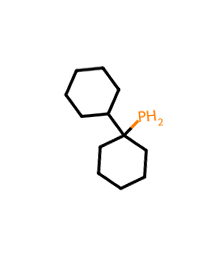 PC1(C2CCCCC2)CCCCC1